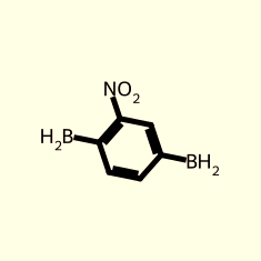 Bc1ccc(B)c([N+](=O)[O-])c1